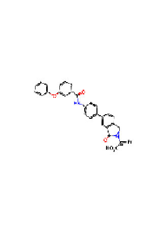 CC(C)[C@@H](C(=O)O)N1Cc2ccc(-c3ccc(NC(=O)c4cccc(Oc5ccccc5)c4)cc3)cc2C1=O